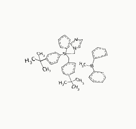 CB(c1ccccc1)c1ccccc1.CC(C)(C)c1ccc([Si](Cn2ccnc2)(c2ccccc2)c2ccc(C(C)(C)C)cc2)cc1